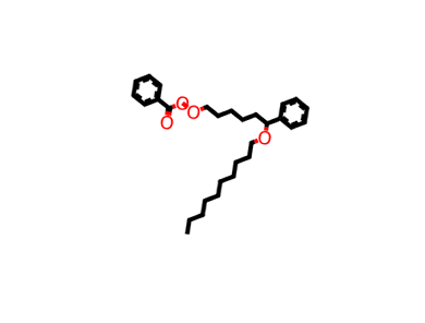 CCCCCCCCCCOC(CCCCCOOC(=O)c1ccccc1)c1ccccc1